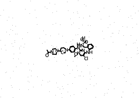 COc1cc(N2CCC(N3CCN(C(C)=O)CC3)CC2)ccc1Nc1ncc(Cl)c(Nc2ccccc2CN[SH](=O)=O)n1